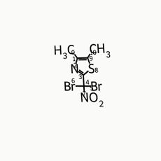 Cc1nc(C(Br)(Br)[N+](=O)[O-])sc1C